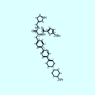 CCC[C@H]1CC[C@H](C2CC=C(c3cnc(-c4ccc(C[C@H](NC(=O)c5ccc(C(C)(C)C)s5)C(=O)NCC5CCNC5)cc4)nc3)CC2)CC1